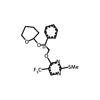 CSc1ncc(C(F)(F)F)c(OC[C@@H](OC2CCCCO2)c2ccccc2)n1